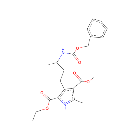 CCOC(=O)c1[nH]c(C)c(C(=O)OC)c1CCC(C)NC(=O)OCc1ccccc1